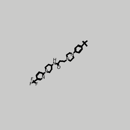 CC(C)(C)c1ccc(N2CCN(CCC(=O)NC3CCN(c4ccc(C(F)(F)F)cn4)CC3)CC2)cc1